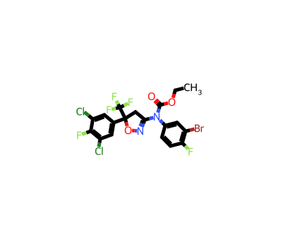 CCOC(=O)N(C1=NOC(c2cc(Cl)c(F)c(Cl)c2)(C(F)(F)F)C1)c1ccc(F)c(Br)c1